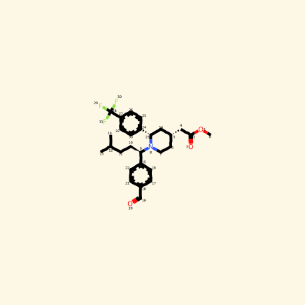 COC(=O)C[C@@H]1CCN([C@H](CCC(C)C)c2ccc(C=O)cc2)[C@H](c2ccc(C(F)(F)F)cc2)C1